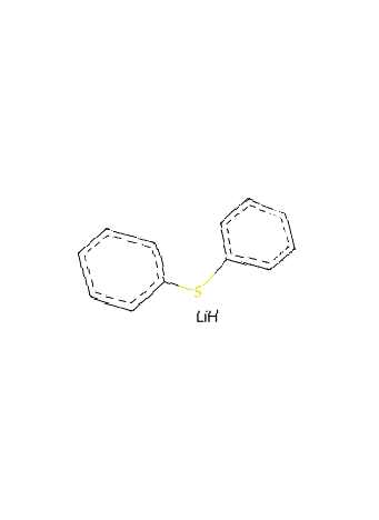 [LiH].c1ccc(Sc2ccccc2)cc1